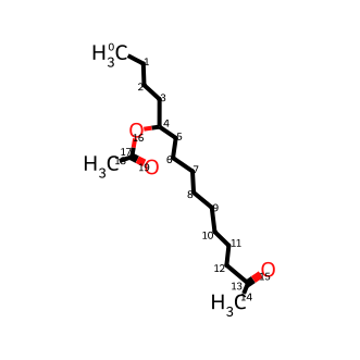 CCCCC(CCCCCCCCC(C)=O)OC(C)=O